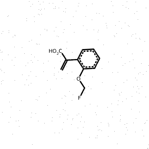 C=C(C(=O)O)c1ccccc1OCF